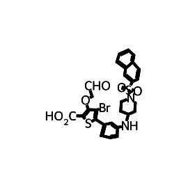 O=CCOc1c(C(=O)O)sc(-c2cccc(NC3CCN(S(=O)(=O)c4ccc5ccccc5c4)CC3)c2)c1Br